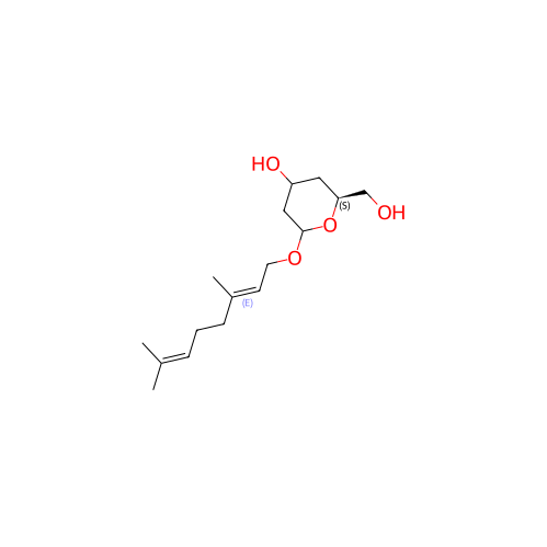 CC(C)=CCC/C(C)=C/COC1CC(O)C[C@@H](CO)O1